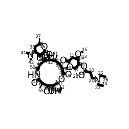 CC[C@H]1OC(=O)[C@H](C)[C@@H](O[C@H]2C[C@@](C)(OC)[C@@H](OC(=O)CCN(CC)CC)[C@H](C)O2)[C@H](C)[C@@H](O[C@@H]2O[C@H](C)C[C@H](N(C)C)[C@H]2O)[C@](C)(O)C[C@@H](C)NC(=O)[C@H](C)[C@@H](O)[C@]1(C)O